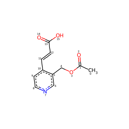 CC(=O)OCc1cnccc1C=CC(=O)O